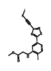 COC(=O)CNc1cc(-c2nc(C#CSI)ns2)ccc1C